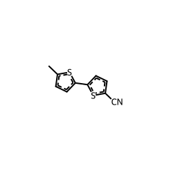 Cc1ccc(-c2ccc(C#N)s2)s1